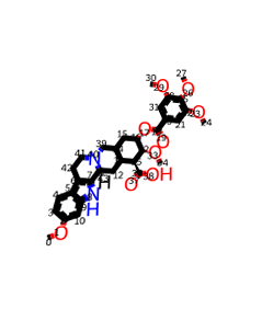 COc1ccc2c3c([nH]c2c1)[C@@H]1CC2C(CC(OC(=O)c4cc(OC)c(OC)c(OC)c4)[C@H](OC)[C@H]2C(=O)O)CN1CC3